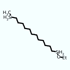 CCO[SiH2]CCCCCCCCCCCC[SiH2]C